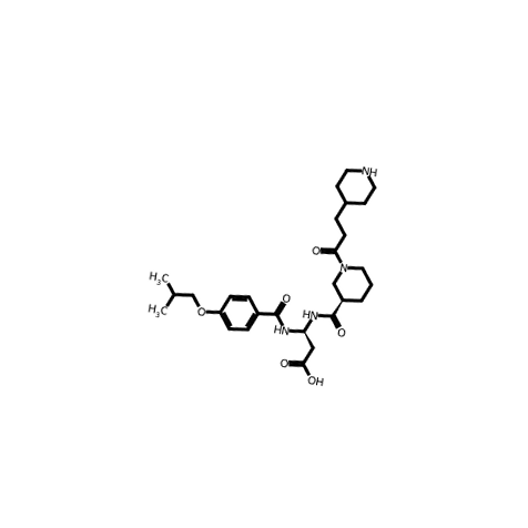 CC(C)COc1ccc(C(=O)N[C@H](CC(=O)O)NC(=O)[C@@H]2CCCN(C(=O)CCC3CCNCC3)C2)cc1